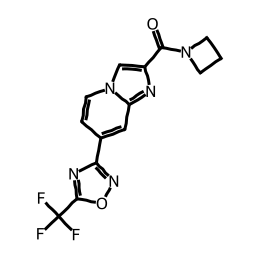 O=C(c1cn2ccc(-c3noc(C(F)(F)F)n3)cc2n1)N1CCC1